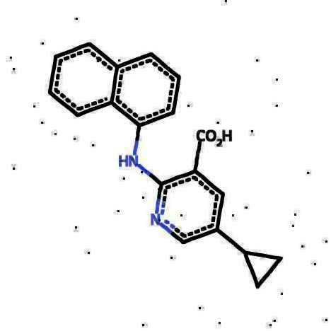 O=C(O)c1cc(C2CC2)cnc1Nc1cccc2ccccc12